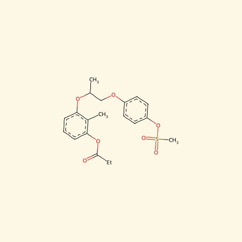 CCC(=O)Oc1cccc(OC(C)COc2ccc(OS(C)(=O)=O)cc2)c1C